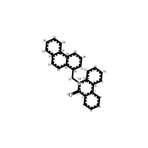 O=c1c2ccccc2c2ccccc2n1Cc1cccc2c1ccc1ccccc12